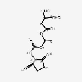 CC(OC(=O)CC(C=O)C=O)OC(=O)ON1C(=O)CCC1=O